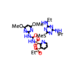 CCNc1nc(NC(C)C)nc(SC)n1.CCS(=O)(=O)c1cccnc1S(=O)(=O)NC(=O)Nc1nc(OC)cc(OC)n1